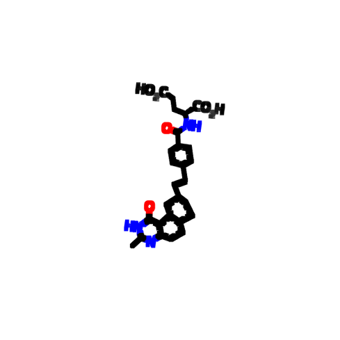 Cc1nc2ccc3ccc(C=Cc4ccc(C(=O)N[C@@H](CCC(=O)O)C(=O)O)cc4)cc3c2c(=O)[nH]1